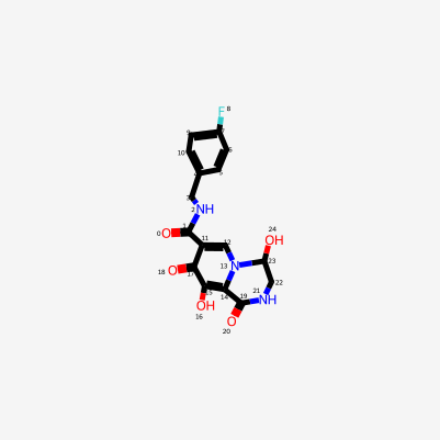 O=C(NCc1ccc(F)cc1)c1cn2c(c(O)c1=O)C(=O)NCC2O